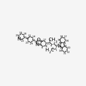 C=C/C(=C\C=C(/C)c1ccc2nc(-c3ccc(-c4cccnc4)cc3)oc2c1)n1c2ccccc2c2ccccc21